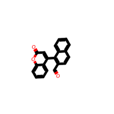 O=Cc1ccc2ccccc2c1-c1cc(=O)oc2ccccc12